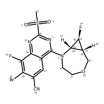 CS(=O)(=O)c1nc(N2CCOC[C@H]3[C@H](F)[C@H]32)c2cc(C#N)c(Br)c(F)c2n1